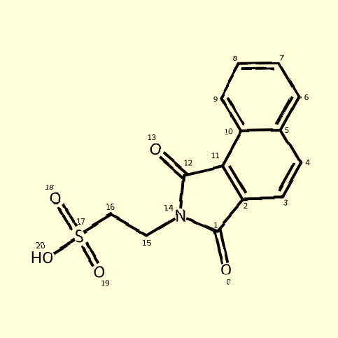 O=C1c2ccc3ccccc3c2C(=O)N1CCS(=O)(=O)O